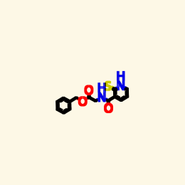 O=C(CNC(=O)c1ccc[nH]c1=S)OCc1ccccc1